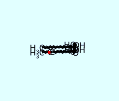 CCCCCCCCCCCCCCCCC=COP(=O)(O)O.CCCCCCCCCCCCCCCCC=COP(=O)(O)O